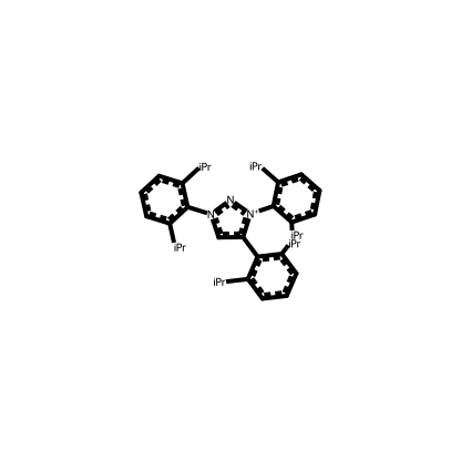 CC(C)c1cccc(C(C)C)c1-c1cn(-c2c(C(C)C)cccc2C(C)C)n[n+]1-c1c(C(C)C)cccc1C(C)C